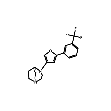 FC(F)(F)c1cccc(-c2cc(N3CCN4CCC3CC4)[c]o2)c1